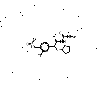 CNC(=O)NC(=O)C(CC1CCCC1)c1ccc(C[SH](=O)=O)c(Cl)c1